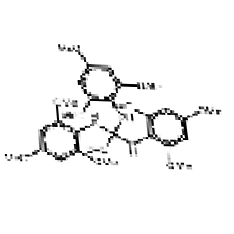 COc1cc(OC)c(PC([C]=O)(Pc2c(OC)cc(OC)cc2OC)Pc2c(OC)cc(OC)cc2OC)c(OC)c1